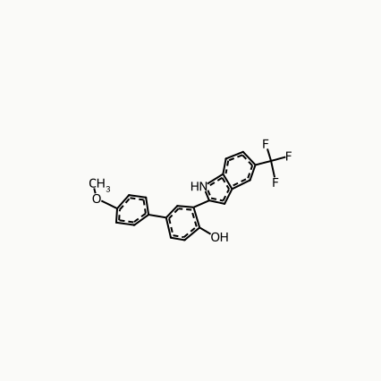 COc1ccc(-c2ccc(O)c(-c3cc4cc(C(F)(F)F)ccc4[nH]3)c2)cc1